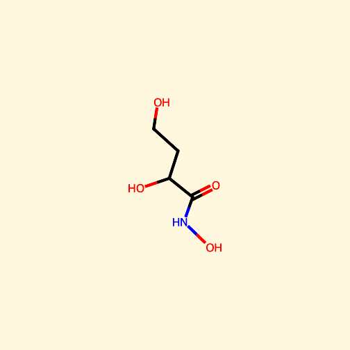 O=C(NO)C(O)CCO